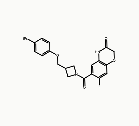 CC(C)c1ccc(OCC2CN(C(=O)c3cc4c(cc3F)OCC(=O)N4)C2)cc1